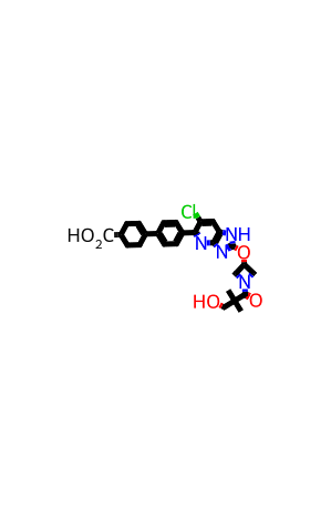 CC(C)(CO)C(=O)N1CC(Oc2nc3nc(-c4ccc(C5=CCC(C(=O)O)CC5)cc4)c(Cl)cc3[nH]2)C1